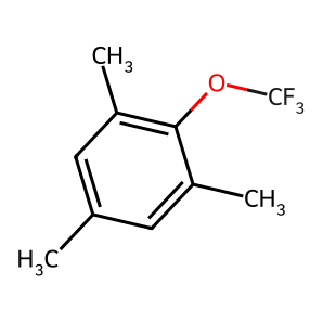 Cc1cc(C)c(OC(F)(F)F)c(C)c1